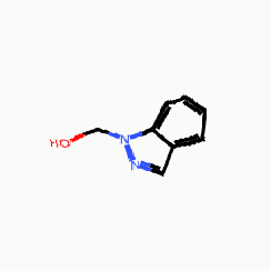 OCn1ncc2cc[c]cc21